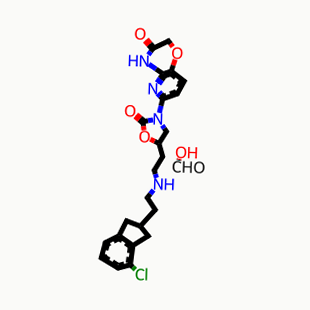 O=C1COc2ccc(N3CC(CCNCCC4Cc5cccc(Cl)c5C4)OC3=O)nc2N1.O=CO